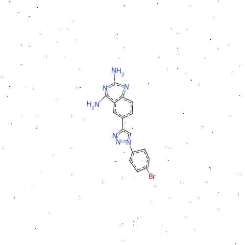 Nc1nc(N)c2cc(-c3cn(-c4ccc(Br)cc4)nn3)ccc2n1